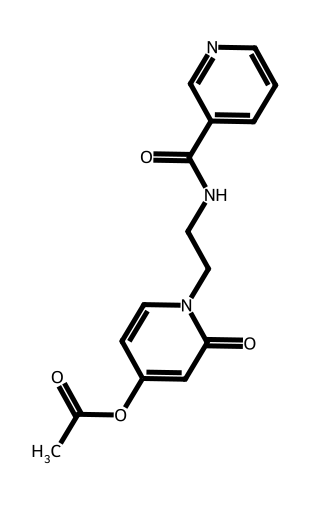 CC(=O)Oc1ccn(CCNC(=O)c2cccnc2)c(=O)c1